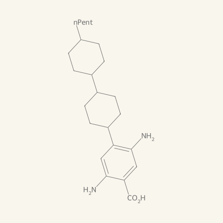 CCCCCC1CCC(C2CCC(c3cc(N)c(C(=O)O)cc3N)CC2)CC1